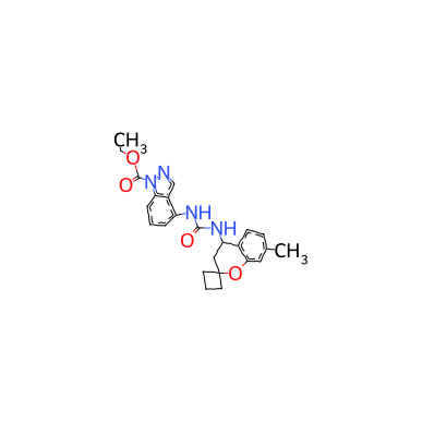 CCOC(=O)n1ncc2c(NC(=O)NC3CC4(CCC4)Oc4cc(C)ccc43)cccc21